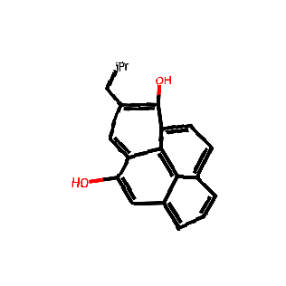 CC(C)Cc1cc2c(O)cc3cccc4ccc(c1O)c2c43